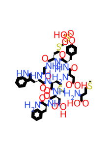 CSCCC(N)C(=O)O.CSCC[C@H](NC(=O)[C@H](Cc1ccc(OS(=O)(=O)O)cc1)NC(=O)[C@@H](N)CC(=O)O)C(=O)NCC(=O)N[C@@H](Cc1c[nH]c2ccccc12)C(=O)N[C@@H](CCSC)C(=O)N[C@@H](CC(=O)O)C(=O)N[C@@H](Cc1ccccc1)C(N)=O